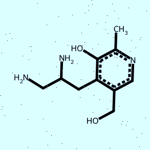 Cc1ncc(CO)c(CC(N)CN)c1O